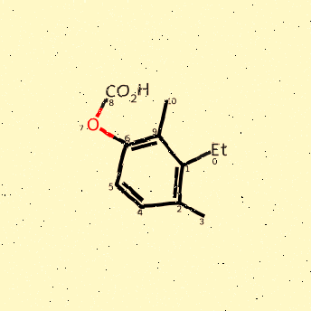 CCc1c(C)ccc(OC(=O)O)c1C